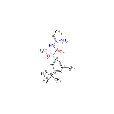 CC=C(N)NC(=O)C(OC)c1cc(C)cc(C(C)(C)C)c1